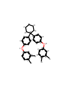 Cc1ccc(Oc2ccc(C3(c4ccc(Oc5ccc(C)c(C)c5)cc4)CCCCC3)cc2)cc1C